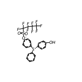 O=S(=O)([O-])C(F)(F)C(F)(F)C(F)(F)C(F)(F)F.Oc1ccc([S+](c2ccccc2)c2ccccc2)cc1